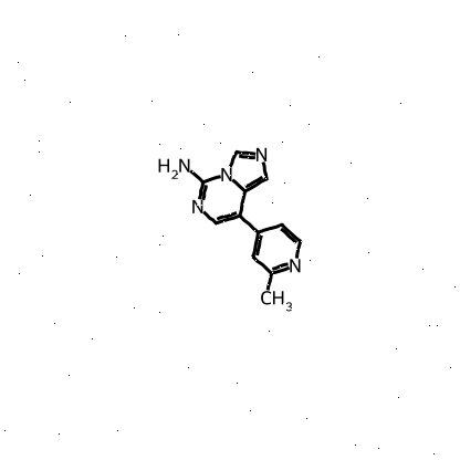 Cc1cc(-c2cnc(N)n3cncc23)ccn1